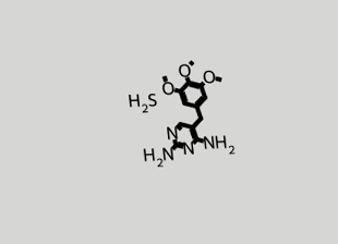 COc1cc(Cc2cnc(N)nc2N)cc(OC)c1OC.S